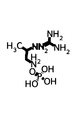 CC(N)CN.N=C(N)N.O=P(O)(O)O